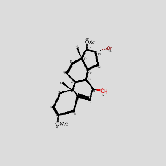 CO[C@H]1CC[C@@]2(C)C(=C[C@H](O)C3C4C[C@@H](Br)C(OC(C)=O)[C@@]4(C)CCC32)C1